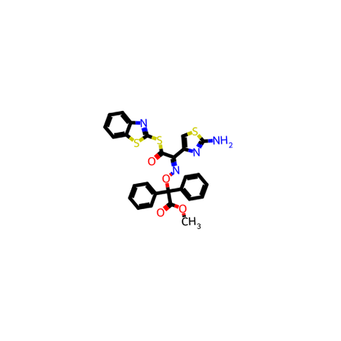 COC(=O)C(O/N=C(\C(=O)Sc1nc2ccccc2s1)c1csc(N)n1)(c1ccccc1)c1ccccc1